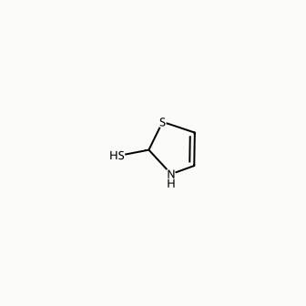 S[C]1NC=CS1